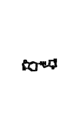 c1nc2ccc(NCc3cncs3)cc2o1